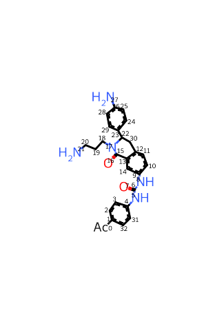 CC(=O)c1ccc(NC(=O)Nc2ccc3c(c2)C(=O)N(CCCN)C(c2ccc(N)cc2)C3)cc1